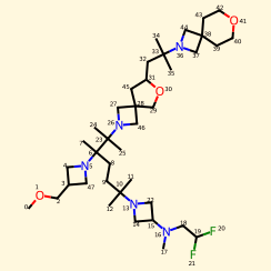 COCC1CN(C(C)(CCC(C)(C)N2CC(N(C)CC(F)F)C2)C(C)(C)N2CC3(COC(CC(C)(C)N4CC5(CCOCC5)C4)C3)C2)C1